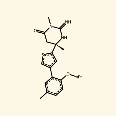 CCCOc1ccc(C)cc1-c1csc([C@]2(C)CC(=O)N(C)C(=N)N2)c1